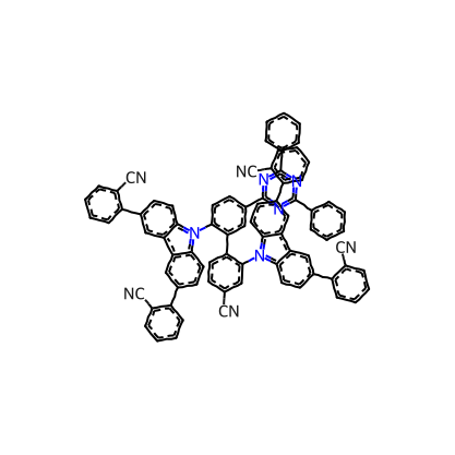 N#Cc1ccc(-c2cc(-c3nc(-c4ccccc4)nc(-c4ccccc4)n3)ccc2-n2c3ccc(-c4ccccc4C#N)cc3c3cc(-c4ccccc4C#N)ccc32)c(-n2c3ccc(-c4ccccc4C#N)cc3c3cc(-c4ccccc4C#N)ccc32)c1